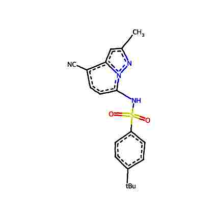 Cc1cc2c(C#N)ccc(NS(=O)(=O)c3ccc(C(C)(C)C)cc3)n2n1